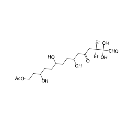 CCC(CC)(CC(=O)CC(O)CCC(O)CCC(O)CCOC(C)=O)C(O)(O)C=O